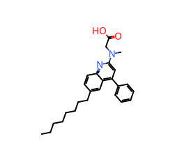 CCCCCCCCc1ccc2nc(N(C)CC(=O)O)cc(-c3ccccc3)c2c1